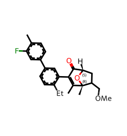 CCc1ccc(-c2ccc(C)c(F)c2)cc1C1=C(C)[C@]2(C)O[C@@H](CC2COC)C1=O